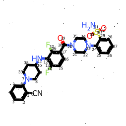 N#Cc1ccccc1N1CCC(Nc2c(F)ccc(C(=O)N3CCN(c4ccccc4S(N)(=O)=O)CC3)c2F)CC1